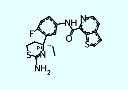 CC[C@@]1(c2cc(NC(=O)c3nccc4ccsc34)ccc2F)CCSC(N)=N1